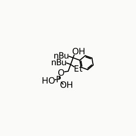 CCCCC(CC)(COP(O)O)C(O)(CCCC)c1ccccc1